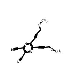 COCC#Cc1nc(C#N)c(C#N)nc1C#CCOC